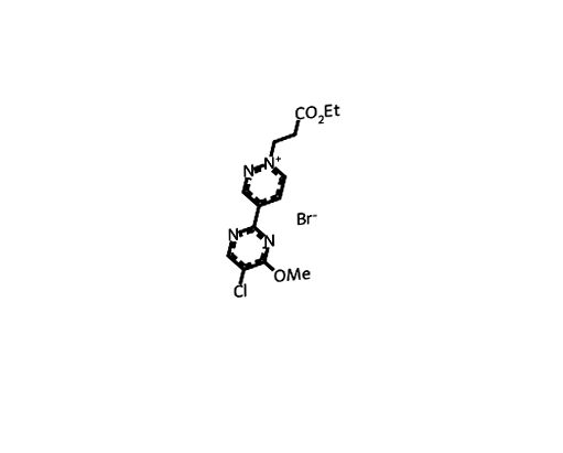 CCOC(=O)CC[n+]1ccc(-c2ncc(Cl)c(OC)n2)cn1.[Br-]